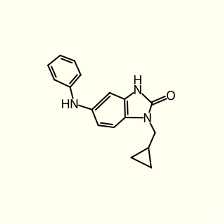 O=c1[nH]c2cc(Nc3ccccc3)ccc2n1CC1CC1